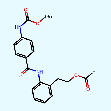 CCC(=O)OCCc1ccccc1NC(=O)c1ccc(NC(=O)OC(C)(C)C)cc1